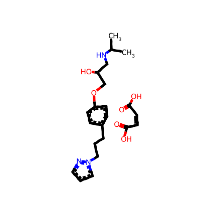 CC(C)NCC(O)COc1ccc(CCCn2cccn2)cc1.O=C(O)/C=C\C(=O)O